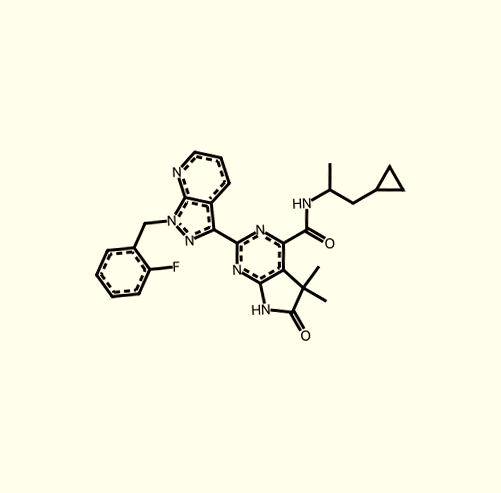 CC(CC1CC1)NC(=O)c1nc(-c2nn(Cc3ccccc3F)c3ncccc23)nc2c1C(C)(C)C(=O)N2